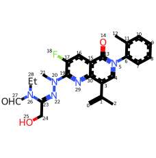 C=C(C)c1cn(-c2ccccc2C)c(=O)c2cc(F)c(N(C)/N=C(/CO)N(C=O)CC)nc12